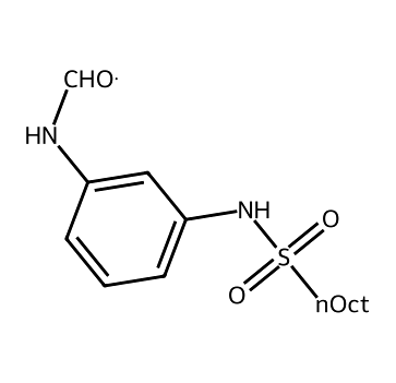 CCCCCCCCS(=O)(=O)Nc1cccc(N[C]=O)c1